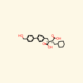 O=C(O)[C@@H](Cc1ccc(-c2ccc(CO)cc2)cc1)[C@H](CC1CCCCC1)C(=O)O